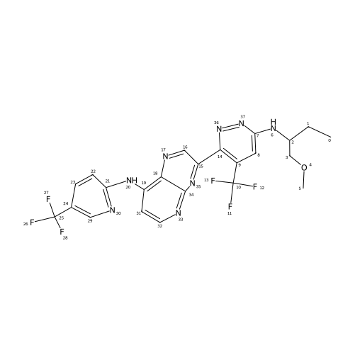 CCC(COC)Nc1cc(C(F)(F)F)c(-c2cnc3c(Nc4ccc(C(F)(F)F)cn4)ccnc3n2)nn1